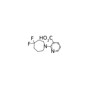 O=C(O)c1cccnc1N1CCCC(F)(F)CC1